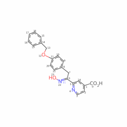 O=C(O)c1ccnc(/C(Cc2ccc(OCc3ccccc3)cc2)=N/O)c1